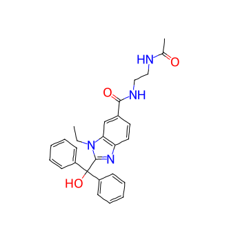 CCn1c(C(O)(c2ccccc2)c2ccccc2)nc2ccc(C(=O)NCCNC(C)=O)cc21